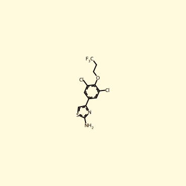 Nc1nc(-c2cc(Cl)c(OCCC(F)(F)F)c(Cl)c2)cs1